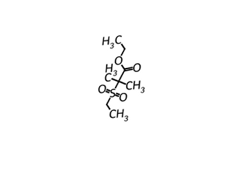 CCOC(=O)C(C)(C)S(=O)(=O)CC